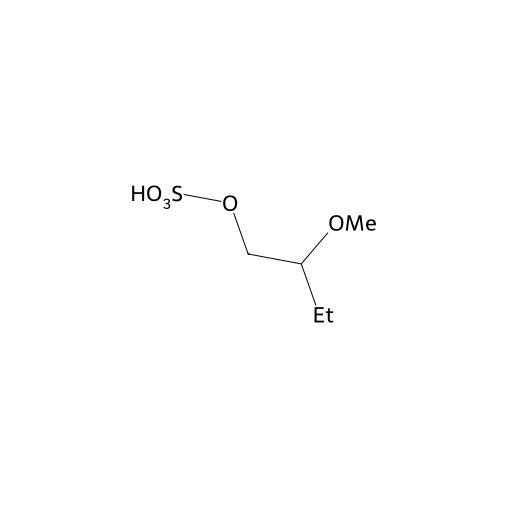 CCC(COS(=O)(=O)O)OC